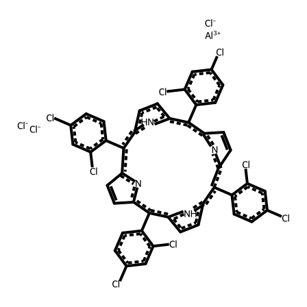 Clc1ccc(-c2c3nc(c(-c4ccc(Cl)cc4Cl)c4ccc([nH]4)c(-c4ccc(Cl)cc4Cl)c4nc(c(-c5ccc(Cl)cc5Cl)c5ccc2[nH]5)C=C4)C=C3)c(Cl)c1.[Al+3].[Cl-].[Cl-].[Cl-]